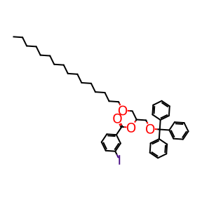 CCCCCCCCCCCCCCCCOCC(COC(c1ccccc1)(c1ccccc1)c1ccccc1)OC(=O)c1cccc(I)c1